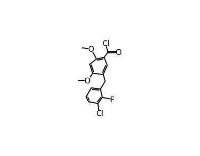 COc1cc(OC)c(C(=O)Cl)cc1Cc1cccc(Cl)c1F